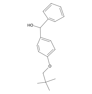 CC(C)(C)COc1ccc(C(O)c2ccccc2)cc1